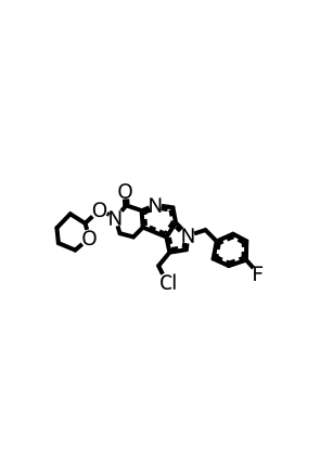 O=C1c2ncc3c(c(CCl)cn3Cc3ccc(F)cc3)c2CCN1OC1CCCCO1